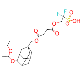 CCOC(C)OC1C2CC3CC1CC(COC(=O)CCC(=O)OCC(F)(F)S(=O)(=O)O)(C3)C2